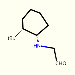 CC(C)(C)[C@@H]1CCCC[C@@H]1NC[C]=O